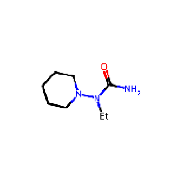 CCN(C(N)=O)N1CCCCC1